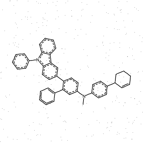 CN(c1ccc(C2C=CCCC2)cc1)c1ccc(-c2ccc3c(c2)c2ccccc2n3-c2ccccc2)c(C2=CC=C=C=C2)c1